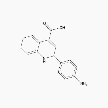 Nc1ccc(C2C=C(C(=O)O)C3=CCCC=C3N2)cc1